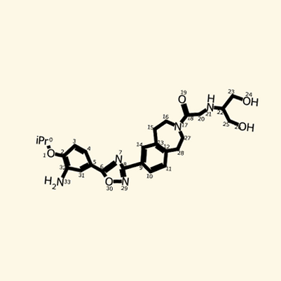 CC(C)Oc1ccc(-c2nc(-c3ccc4c(c3)CCN(C(=O)CNC(CO)CO)CC4)no2)cc1N